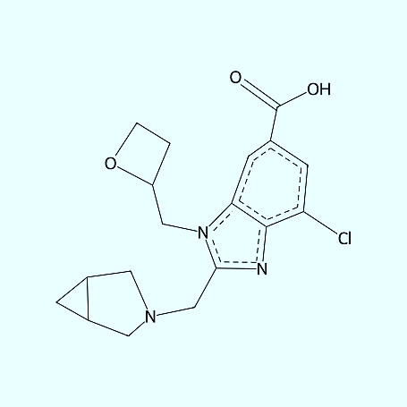 O=C(O)c1cc(Cl)c2nc(CN3CC4CC4C3)n(CC3CCO3)c2c1